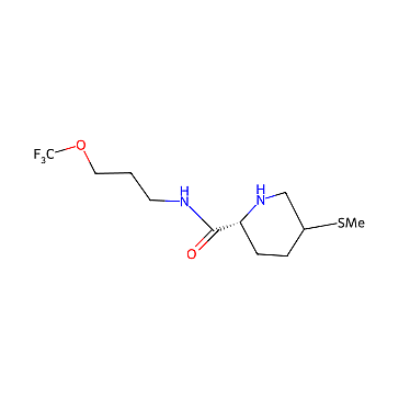 CSC1CC[C@H](C(=O)NCCCOC(F)(F)F)NC1